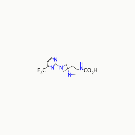 CN(C)C1(CCNC(=O)O)CN(c2nccc(C(F)(F)F)n2)C1